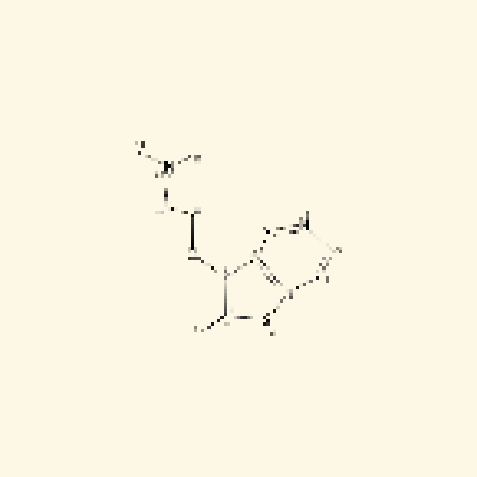 Cc1sc2ccncc2c1OCCN(C)C